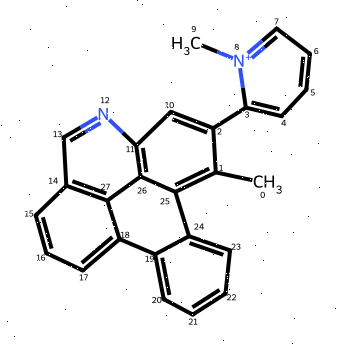 Cc1c(-c2cccc[n+]2C)cc2ncc3cccc4c5ccccc5c1c2c34